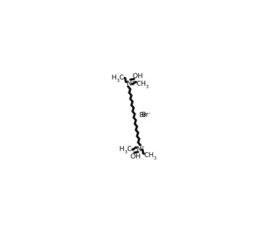 CCC[N+](CCC)(CCO)CCCCCCCCCCCCCCCCCCCC[N+](CCC)(CCC)CCO.[Br-].[Br-]